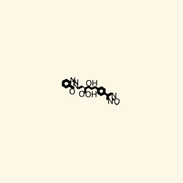 COc1ncc(-c2ccc(CC[C@@H](O)[C@H](CCn3nnc4ccccc4c3=O)C(=O)O)cc2)cn1